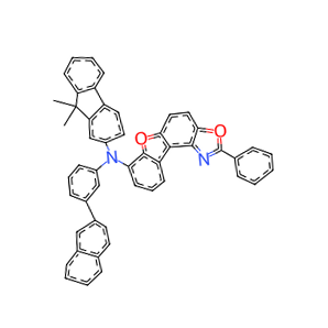 CC1(C)c2ccccc2-c2ccc(N(c3cccc(-c4ccc5ccccc5c4)c3)c3cccc4c3oc3ccc5oc(-c6ccccc6)nc5c34)cc21